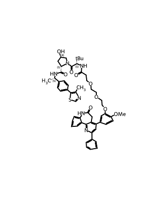 COc1ccc(-c2cc(-c3ccccc3)nc3c2CC(=O)Nc2ccccc2-3)cc1OCCOCCOCCC(=O)N[C@H](C(=O)N1C[C@H](O)C[C@H]1C(=O)N[C@@H](C)c1ccc(-c2scnc2C)cc1)C(C)(C)C